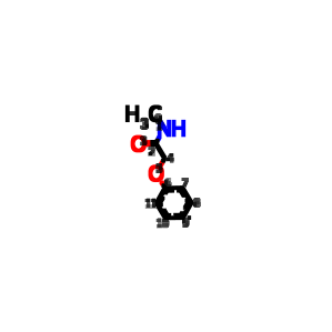 CNC(=O)COc1cc[c]cc1